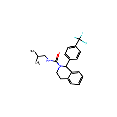 CC(C)CNC(=O)N1CCc2ccccc2C1c1ccc(C(F)(F)F)cc1